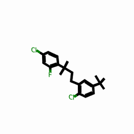 CC(C)(C)c1ccc(Cl)c(CCC(C)(C)c2ccc(Cl)cc2F)c1